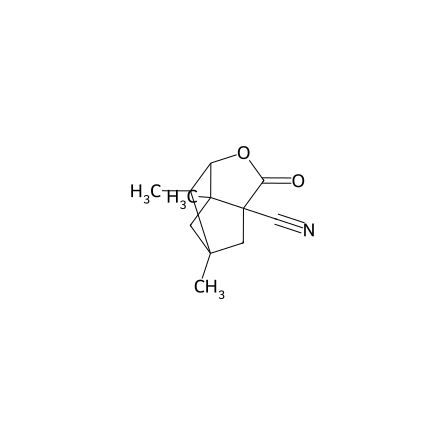 CC1C2OC(=O)C3(C#N)CC1(C)CC23C